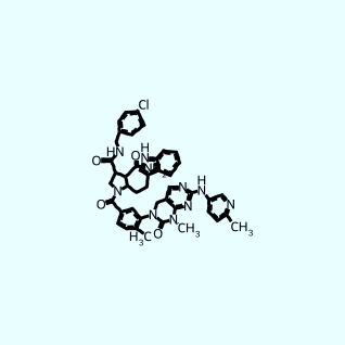 Cc1ccc(Nc2ncc3c(n2)N(C)C(=O)N(c2cc(C(=O)N4CC(C(=O)NCc5ccc(Cl)cc5)C(C(N)=O)C4CCc4c[nH]c5ccccc45)ccc2C)C3)cn1